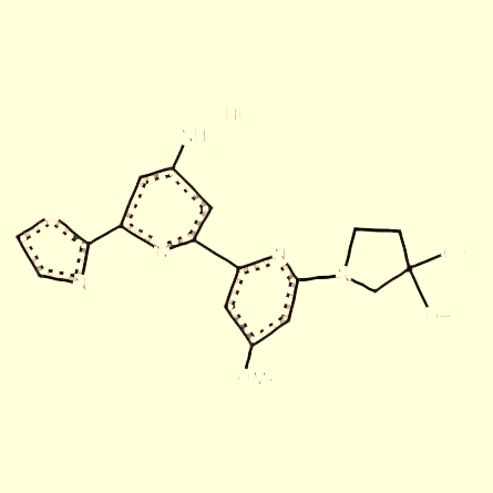 COc1cc(-c2cc(N)cc(-c3nccs3)n2)nc(N2CCC(C)(O)C2)c1.Cl